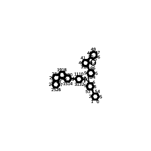 c1ccc(-c2ccc(N(c3ccc(-c4ccc5c(ccc6ccc7ccccc7c65)c4)cc3)c3cccc(-c4cccc5c4oc4ccccc45)c3)cc2)cc1